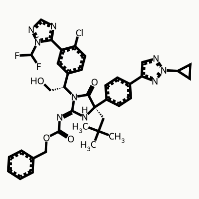 CC(C)(C)C[C@]1(c2ccc(-c3cnn(C4CC4)n3)cc2)NC(=NC(=O)OCc2ccccc2)N([C@H](CO)c2ccc(Cl)c(-c3ncnn3C(F)F)c2)C1=O